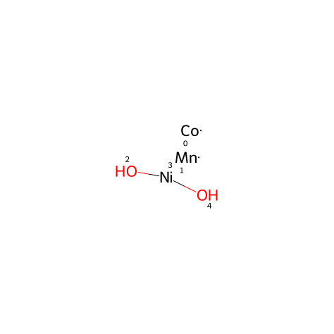 [Co].[Mn].[OH][Ni][OH]